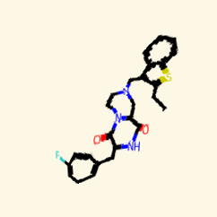 CCc1sc2ccccc2c1CN1CCN2C(=O)C(CC3=CCC=C(F)C=C3)NC(=O)C2C1